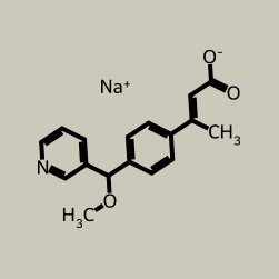 COC(c1ccc(C(C)=CC(=O)[O-])cc1)c1cccnc1.[Na+]